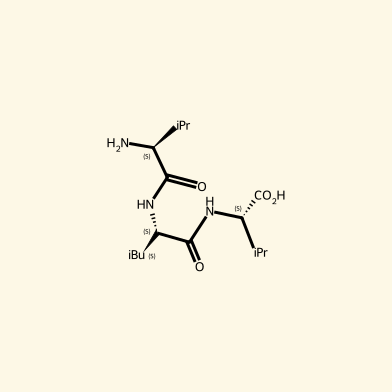 CC[C@H](C)[C@H](NC(=O)[C@@H](N)C(C)C)C(=O)N[C@H](C(=O)O)C(C)C